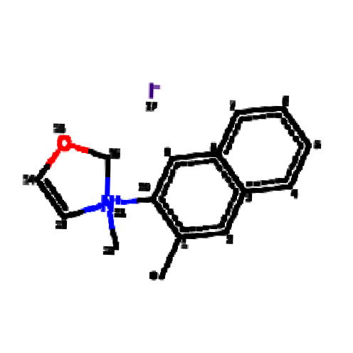 Cc1cc2ccccc2cc1[N+]1(C)C=COC1.[I-]